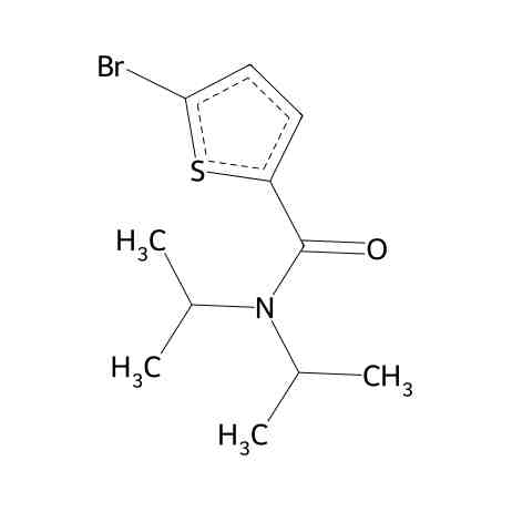 CC(C)N(C(=O)c1ccc(Br)s1)C(C)C